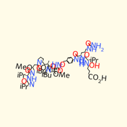 CC[C@H](C)[C@@H]([C@@H](CC(=O)N1CCC[C@H]1[C@H](OC)[C@@H](C)C(=O)N(C)[C@@H]([C@@H](C)CC)[C@@H](CC(=O)NOCc1ccc(NC(=O)[C@@H](CCCNC(N)=O)NC(=O)[C@H](NC(O)CCCC(=O)O)C(C)C)cc1)OC)OC)N(C)C(=O)[C@@H](NC(=O)[C@H](C(C)C)N(C)C)C(C)C